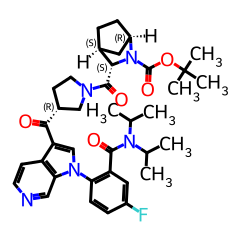 CC(C)N(C(=O)c1cc(F)ccc1-n1cc(C(=O)[C@@H]2CCN(C(=O)[C@@H]3[C@H]4CC[C@H](C4)N3C(=O)OC(C)(C)C)C2)c2ccncc21)C(C)C